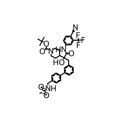 CC(C)(C)OC(=O)N1CCC(C(O)(Cc2cccc(-c3ccc(CNS(C)(=O)=O)cc3)c2)C(=O)Nc2ccc(C#N)c(C(F)(F)F)c2)CC1